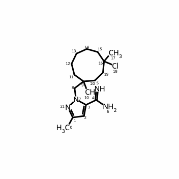 Cc1cc(C(=N)N)n(CC2(C)CCCCCC(C)(Cl)CC2)n1